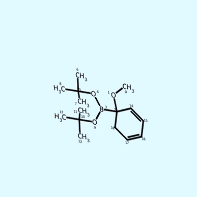 COC1(B(OC(C)(C)C)OC(C)(C)C)C=CC=CC1